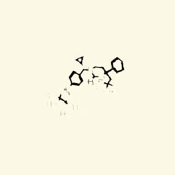 CC(C)(O)CC1(c2ccccc2)CCN([C@H](c2ccc(B3OC(C)(C)C(C)(C)O3)cc2)C2CC2)C(=O)O1